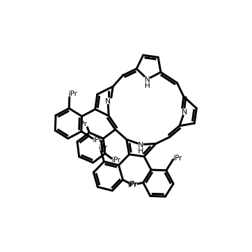 CC(C)c1cccc(C(C)C)c1C1=Cc2cc3ccc(cc4nc(cc5[nH]c(c(-c6c(C(C)C)cccc6C(C)C)c1n2)c(-c1c(C(C)C)cccc1C(C)C)c5-c1c(C(C)C)cccc1C(C)C)C=C4)[nH]3